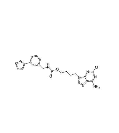 Nc1nc(Cl)nc2c1ncn2CCCCOC(=O)NCc1cccc(-c2ccsc2)c1